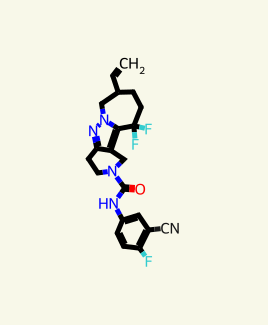 C=CC1CCC(F)(F)c2c3c(nn2C1)CCN(C(=O)Nc1ccc(F)c(C#N)c1)C3